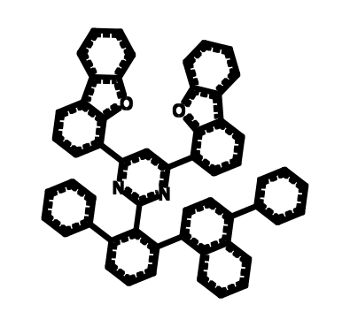 c1ccc(-c2cccc(-c3ccc(-c4ccccc4)c4ccccc34)c2-c2nc(-c3cccc4c3oc3ccccc34)cc(-c3cccc4c3oc3ccccc34)n2)cc1